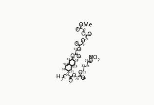 COC(=O)COC(=O)COCC(=O)OCC(=O)Oc1ccc2cc(C(C)C(=O)OCC(=O)OCCCCO[N+](=O)[O-])ccc2c1